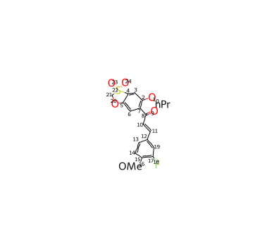 CCCOc1cc2c(cc1C(=O)C=Cc1ccc(OC)c(F)c1)OCS2(=O)=O